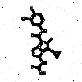 Cn1c(C(=O)Nc2ccc(F)c(Cl)c2)c2c(c1C1CC1)C(NC(=O)O)CC2